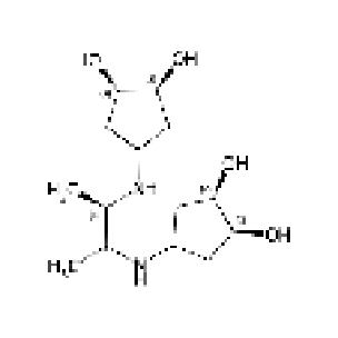 C[C](NC1C[C@@H](O)[C@@H](O)C1)[C@@H](C)NC1C[C@@H](O)[C@@H](O)C1